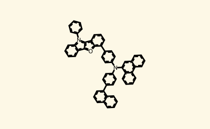 c1ccc(-n2c3ccccc3c3oc4c(-c5ccc(N(c6ccc(-c7cccc8ccccc78)cc6)c6cc7ccccc7c7ccccc67)cc5)cccc4c32)cc1